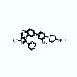 CNC1CCN(c2ccc(-c3ccc4ncc5c(C)nc(C6CCOCC6)n5c4c3)cc2C(F)(F)F)CC1